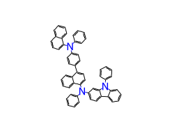 c1ccc(N(c2ccc(-c3ccc(N(c4ccccc4)c4ccc5c6ccccc6n(-c6ccccc6)c5c4)c4ccccc34)cc2)c2cccc3ccccc23)cc1